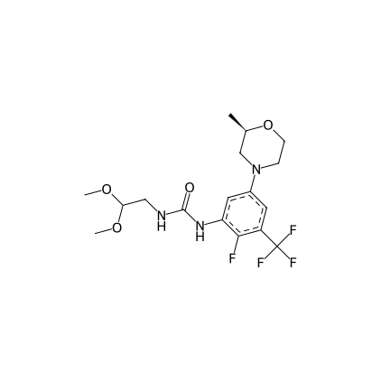 COC(CNC(=O)Nc1cc(N2CCO[C@H](C)C2)cc(C(F)(F)F)c1F)OC